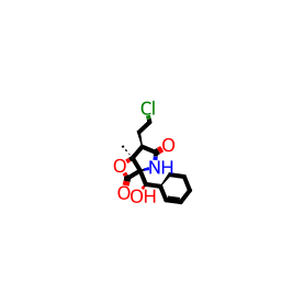 C[C@@]12OC(=O)[C@]1([C@H](O)[C@@H]1C=CCCC1)NC(=O)[C@@H]2CCCl